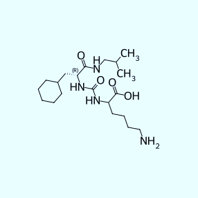 CC(C)CNC(=O)[C@@H](CC1CCCCC1)NC(=O)NC(CCCCN)C(=O)O